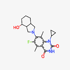 Cc1c(F)c(N2CC3CCCC(O)C3C2)c(C)c2c1c(=O)[nH]c(=O)n2C1CC1